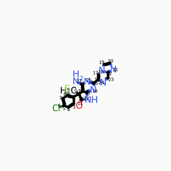 CC1(c2ccc(Cl)cc2F)C(=O)Nc2nc(-c3cn4ccnc4cn3)nc(N)c21